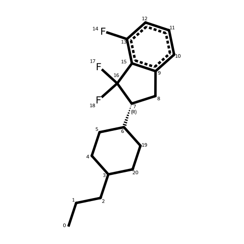 CCCC1CCC([C@H]2Cc3cccc(F)c3C2(F)F)CC1